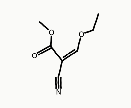 CCO/C=C(/C#N)C(=O)OC